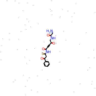 NCC(=O)NCC(=O)C#CC(=O)NC(=S)CC(=O)c1ccccc1